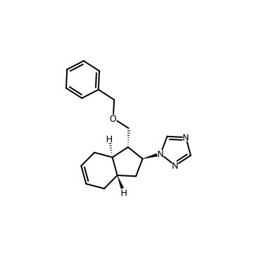 C1=CC[C@@H]2[C@@H](C1)C[C@H](n1cncn1)[C@H]2COCc1ccccc1